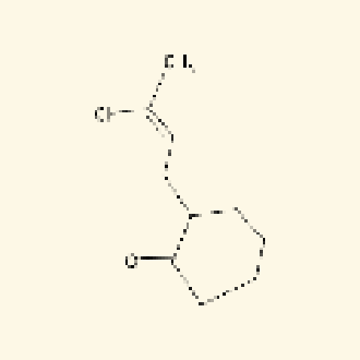 CC(Cl)=CCC1CCCCC1=O